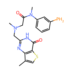 Cc1csc2c(=O)[nH]c(CN(C)CC(=O)N(C)c3cccc(P)c3)nc12